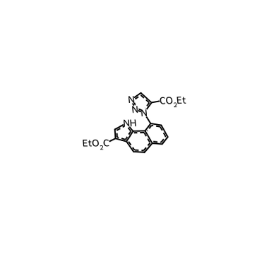 CCOC(=O)c1c[nH]c2c1ccc1cccc(-n3nncc3C(=O)OCC)c12